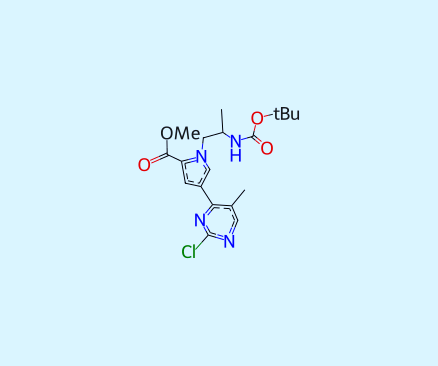 COC(=O)c1cc(-c2nc(Cl)ncc2C)cn1CC(C)NC(=O)OC(C)(C)C